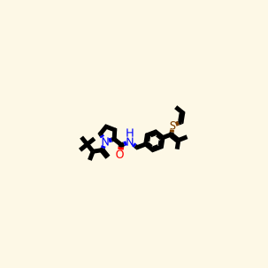 C=C(C(C)C(C)(C)C)N1CCCC1C(=O)NCc1ccc(C(S/C=C\C)=C(C)C)cc1